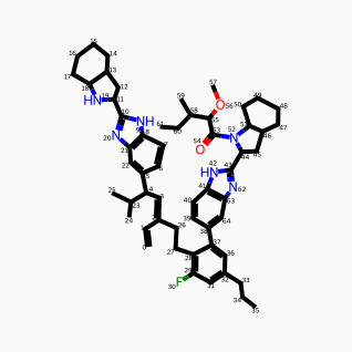 C=C/C(=C\C(c1ccc2[nH]c(C3CC4CCCCC4N3)nc2c1)C(C)C)CCc1c(F)cc(CCC)cc1-c1ccc2[nH]c(C3CC4CCCCC4N3C(=O)C(OC)C(C)CC)nc2c1